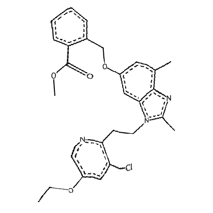 CCOc1cnc(CCn2c(C)nc3c(C)cc(OCc4ccccc4C(=O)OC)cc32)c(Cl)c1